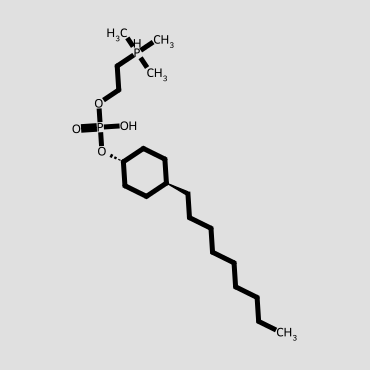 CCCCCCCCC[C@H]1CC[C@H](OP(=O)(O)OCC[PH](C)(C)C)CC1